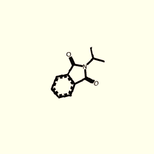 CC(C)N1C(=O)c2ccccc2C1=O